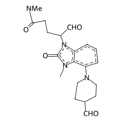 CNC(=O)CCC(C=O)n1c(=O)n(C)c2c(N3CCC(C=O)CC3)cccc21